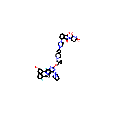 C#Cc1c(F)ccc2cc(O)cc(-c3ncc4c(N5CC6CCC(C5)N6)nc(OCC5(CN6CCC7(CC6)CC(N6CCN(c8cccc9c8C(=O)N(C8CCC(=O)NC8=O)C9=O)CC6)C7)CC5)nc4c3F)c12